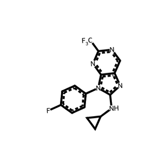 Fc1ccc(-n2c(NC3CC3)nc3cnc(C(F)(F)F)nc32)cc1